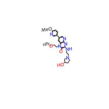 CCCOCCn1c(=O)c(NCCN2CC[C@@H](O)C2)nc2ncc(-c3ccc(OC)nc3)cc21